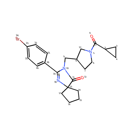 O=C(C1CC1)N1CCC(CN2C(=O)C3(CCCC3)N=C2c2ccc(Br)cc2)C1